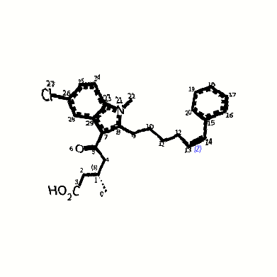 C[C@H](CC(=O)O)CC(=O)c1c(CCCC/C=C\c2ccccc2)n(C)c2ccc(Cl)cc12